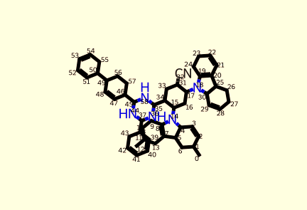 CC1C=CC2C(C1)C1=C(CCC(C)C1)N2C1CC(N2C3=C(C=CCC3)C3CCC=CC32)C(C#N)CC1C1NC(C2C=CC=CC2)NC(C2C=CC(C3C=CC=CC3)CC2)N1